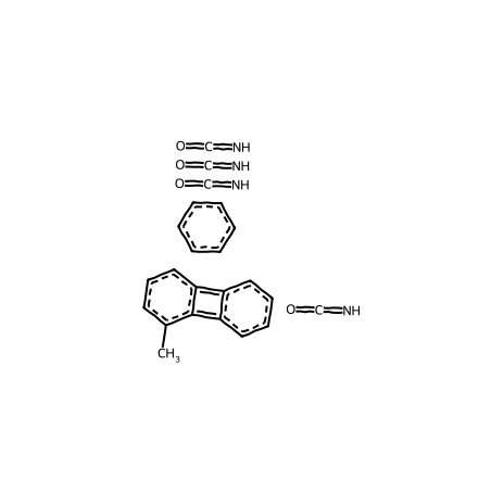 Cc1cccc2c1=c1ccccc1=2.N=C=O.N=C=O.N=C=O.N=C=O.c1ccccc1